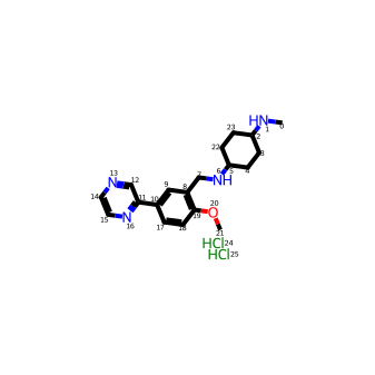 CNC1CCC(NCc2cc(-c3cnccn3)ccc2OC)CC1.Cl.Cl